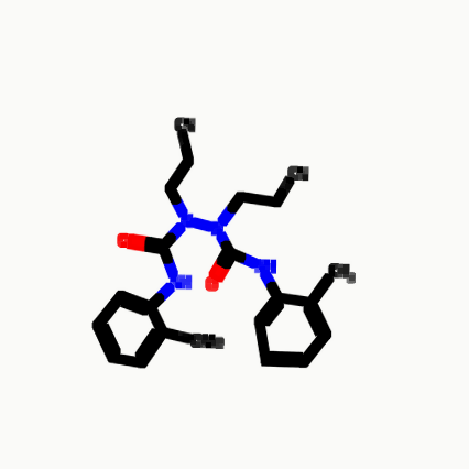 COc1ccccc1NC(=O)N(CCC#N)N(CCC#N)C(=O)Nc1ccccc1C